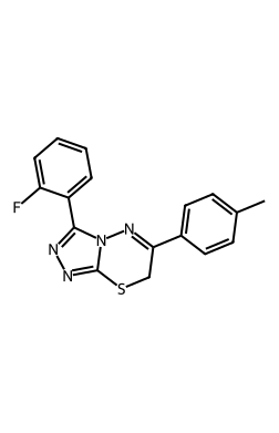 Cc1ccc(C2=Nn3c(nnc3-c3ccccc3F)SC2)cc1